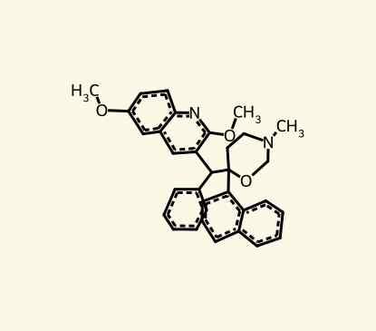 COc1ccc2nc(OC)c(C(c3ccccc3)C3(c4cccc5ccccc45)CCN(C)CO3)cc2c1